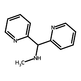 CNC(c1ccccn1)c1ccccn1